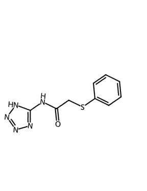 O=C(CSc1ccccc1)Nc1nnn[nH]1